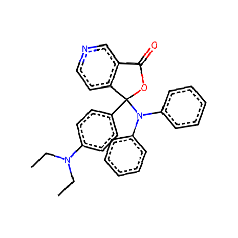 CCN(CC)c1ccc(C2(N(c3ccccc3)c3ccccc3)OC(=O)c3cnccc32)cc1